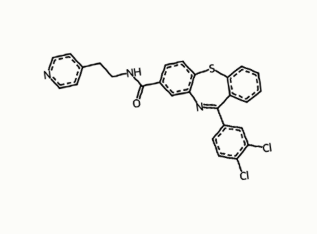 O=C(NCCc1ccncc1)c1ccc2c(c1)N=C(c1ccc(Cl)c(Cl)c1)c1ccccc1S2